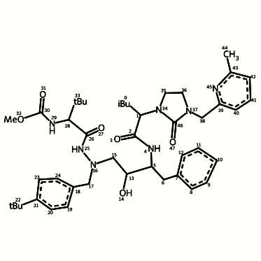 CCC(C)C(C(=O)NC(Cc1ccccc1)C(O)CN(Cc1ccc(C(C)(C)C)cc1)NC(=O)C(NC(=O)OC)C(C)(C)C)N1CCN(Cc2cccc(C)n2)C1=O